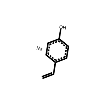 C=Cc1ccc(O)cc1.[Na]